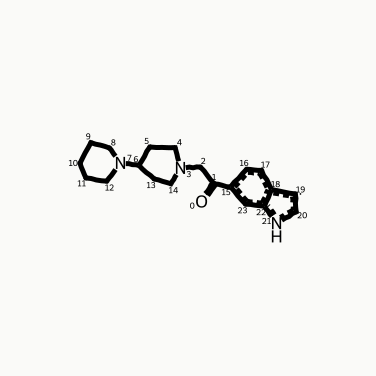 O=C(CN1CCC(N2CCCCC2)CC1)c1ccc2[c]c[nH]c2c1